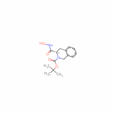 CC(C)(C)OC(=O)N1Cc2ccccc2C[C@@H]1C(=O)NO